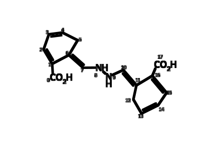 O=C(O)C1=CC=CCC1=CNNC=C1CC=CC=C1C(=O)O